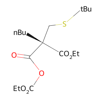 CCCC[C@@](CSC(C)(C)C)(C(=O)OCC)C(=O)OC(=O)OCC